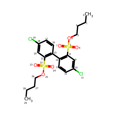 CCCCOS(=O)(=O)c1cc(Cl)ccc1-c1ccc(Cl)cc1S(=O)(=O)OCCCC